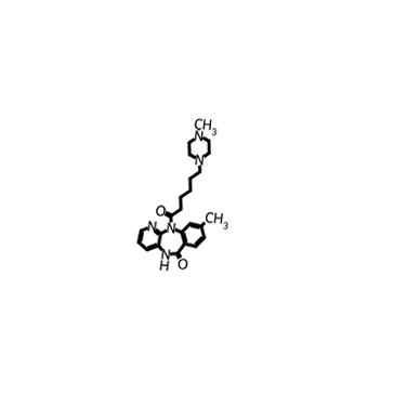 Cc1ccc2c(c1)N(C(=O)CCCCCN1CCN(C)CC1)c1ncccc1NC2=O